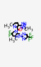 Cc1ccc(-c2nnn(C)n2)c(C(=O)N2CC(F)(F)CC(C)C2CNc2ncc(C(F)(F)F)cn2)n1